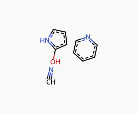 C#N.Oc1ccc[nH]1.c1ccncc1